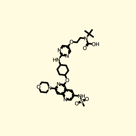 CC(C)(C)N(CCOc1cnc(NC2CCC(Oc3nc(N4CCOCC4)cc4ncc(NS(C)(=O)=O)cc34)CC2)nc1)C(=O)O